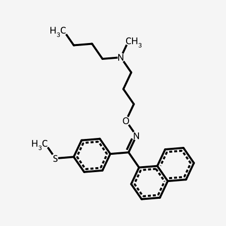 CCCCN(C)CCCON=C(c1ccc(SC)cc1)c1cccc2ccccc12